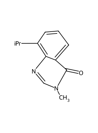 CC(C)c1cccc2c(=O)n(C)cnc12